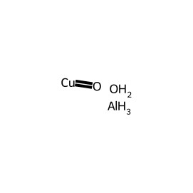 O.[AlH3].[O]=[Cu]